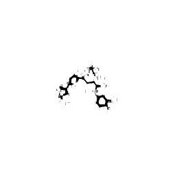 Cn1cc(-c2ccc(C3CC(C(=O)Nc4ccc(F)c(Cl)c4)NS(=O)(=O)N3)s2)cn1